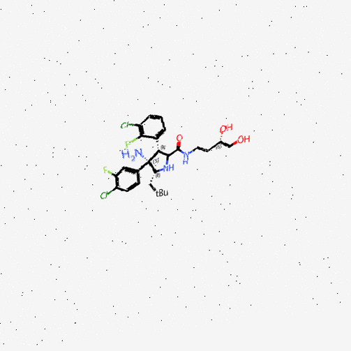 CC(C)(C)C[C@H]1NC(C(=O)NCC[C@H](O)CO)[C@@H](c2cccc(Cl)c2F)[C@]1(N)c1ccc(Cl)c(F)c1